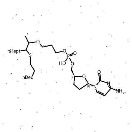 CCCCCCCCCCCCSC(CCCCCCC)C(C)OCCCOP(=O)(O)OC[C@@H]1CC[C@H](n2ccc(N)nc2=O)O1